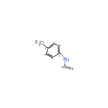 CCCCCCNc1c[c]c(C(F)(F)F)cc1